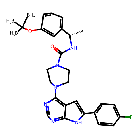 BC(B)(B)Oc1cccc([C@H](C)NC(=O)N2CCN(c3ncnc4[nH]c(-c5ccc(F)cc5)cc34)CC2)c1